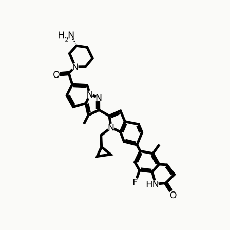 Cc1c(-c2ccc3cc(-c4nn5cc(C(=O)N6CCC[C@@H](N)C6)ccc5c4C)n(CC4CC4)c3c2)cc(F)c2[nH]c(=O)ccc12